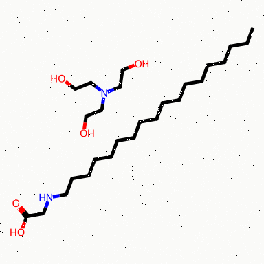 CCCCCCCCCCCCCCCCCCNCC(=O)O.OCCN(CCO)CCO